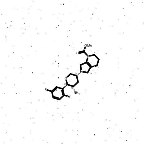 COC(=O)N1CCCC2=C1CN([C@H]1CO[C@H](c3cc(F)ccc3F)[C@@H](N)C1)C2